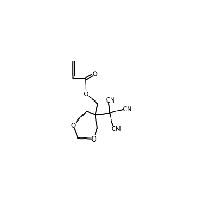 C=CC(=O)OCC1(C(C#N)(C#N)C#N)COCOC1